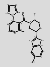 C[C@@H]1CC[C@@H](c2nc3cc(Cl)ccc3o2)CN1C(=O)c1c(F)cccc1-n1nccn1